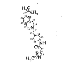 Cc1ncc(CC(=O)N[C@H]2CC[C@H](CCN3CCc4ccc(CC(C)C)nc4CC3)CC2)s1